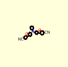 N#Cc1ccc2c(c1)oc1cc(N(c3ccccc3)c3ccc4c(c3)oc3cc(C#N)ccc34)ccc12